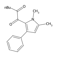 CCCCC(=O)C(=O)c1c(-c2ccccc2)cc(C)n1C